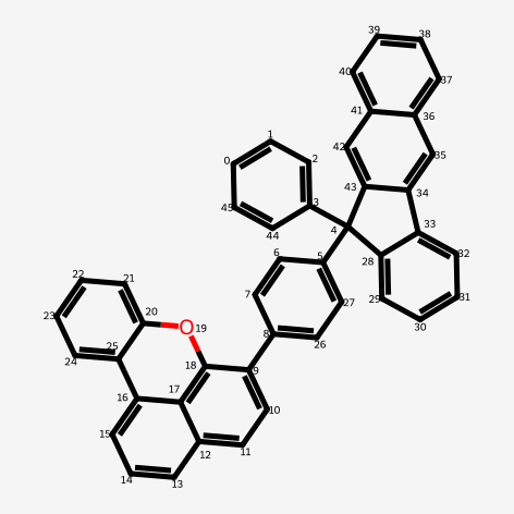 c1ccc(C2(c3ccc(-c4ccc5cccc6c5c4Oc4ccccc4-6)cc3)c3ccccc3-c3cc4ccccc4cc32)cc1